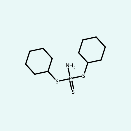 NP(=S)(SC1CCCCC1)SC1CCCCC1